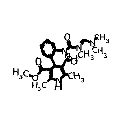 COC(=O)C1=C(C)NC(C)=C(C(=O)OC)C1c1ccccc1N(S)C(=O)N=CN(C)C